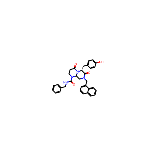 O=C1[C@@H](Cc2ccc(O)cc2)N2C(=O)CCN(C(=O)NCc3ccccc3)C2CN1Cc1cccc2ccccc12